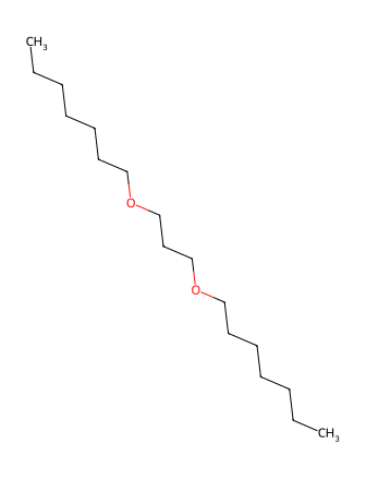 CCCCCCCOCCCOCCCCCCC